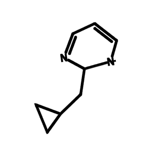 C1=C[N]C(CC2CC2)N=C1